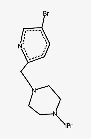 CC(C)N1CCN(Cc2ccc(Br)cn2)CC1